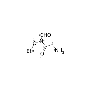 CCON(C=O)C(=O)CN